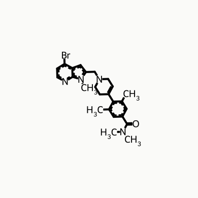 Cc1cc(C(=O)N(C)C)cc(C)c1C1=CCN(Cc2cc3c(Br)ccnc3n2C)CC1